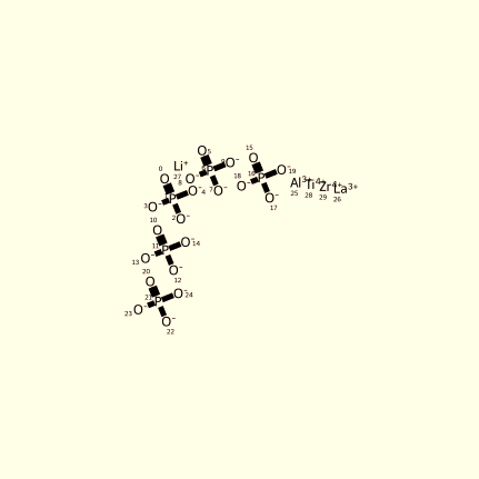 O=P([O-])([O-])[O-].O=P([O-])([O-])[O-].O=P([O-])([O-])[O-].O=P([O-])([O-])[O-].O=P([O-])([O-])[O-].[Al+3].[La+3].[Li+].[Ti+4].[Zr+4]